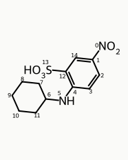 O=[N+]([O-])c1ccc(NC2CCCCC2)c(S(=O)(=O)O)c1